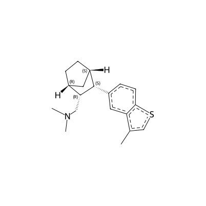 Cc1csc2ccc([C@H]3[C@H]4CC[C@H](C4)[C@H]3CN(C)C)cc12